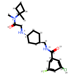 CN(C(=O)CN[C@H]1CC[C@H](CNC(=O)c2cc(F)cc(Cl)c2)CC1)C1(C)CCC1